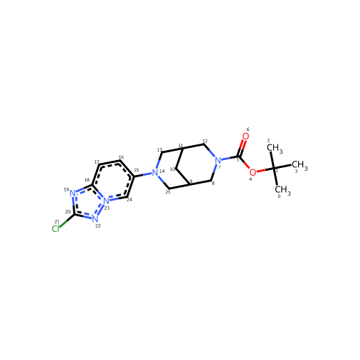 CC(C)(C)OC(=O)N1CC2CC(C1)CN(c1ccc3nc(Cl)nn3c1)C2